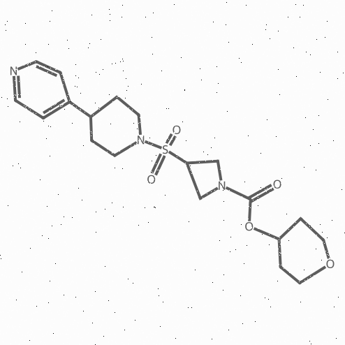 O=C(OC1CCOCC1)N1CC(S(=O)(=O)N2CCC(c3ccncc3)CC2)C1